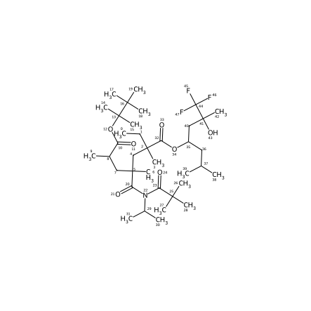 CCC(C)(CC(C)(CC(C)C(=O)OC(C)(C)C(C)(C)C)C(=O)N(C(=O)C(C)(C)C)C(C)C)C(=O)OC(CC(C)C)CC(C)(O)C(F)(F)F